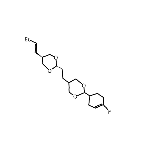 CC/C=C/[C@H]1CO[C@H](CCC2COC(C3CC=C(F)CC3)OC2)OC1